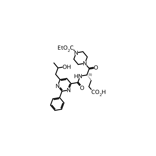 CCOC(=O)N1CCN(C(=O)[C@H](CCC(=O)O)NC(=O)c2cc(CC(C)O)nc(-c3ccccc3)n2)CC1